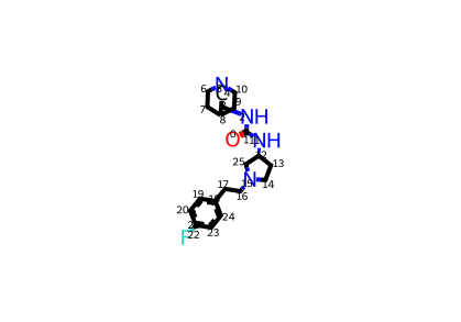 O=C(NC1CN2CCC1CC2)N[C@H]1CCN(CCc2ccc(F)cc2)C1